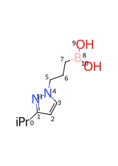 CC(C)c1ccn(CCCB(O)O)n1